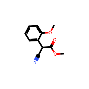 COC(=O)C(C#N)c1ccccc1OC